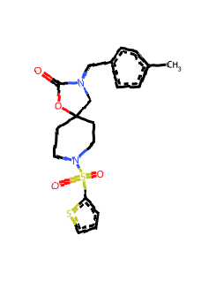 Cc1ccc(CN2CC3(CCN(S(=O)(=O)c4cccs4)CC3)OC2=O)cc1